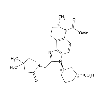 COC(=O)N1c2ccc3c(nc(CN4CCC(C)(C)CC4=O)n3[C@@H]3CCC[C@@H](C(=O)O)C3)c2CC[C@@H]1C